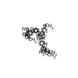 CO[C@H]1CC[C@H]([C@@H]2CCN(C(=O)[C@H]3CC[C@H]([C@@H](CF)NC(=O)OC(C)(C)C)CC3)[C@@H]2C(=O)Nc2ccc3oc(C(=O)O)c(Cc4oc(=O)oc4C)c3c2)CC1